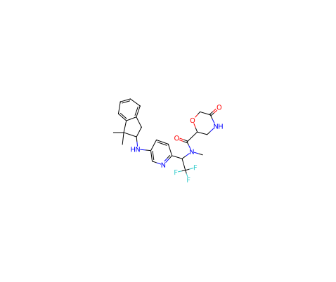 CN(C(=O)C1CNC(=O)CO1)C(c1ccc(NC2Cc3ccccc3C2(C)C)cn1)C(F)(F)F